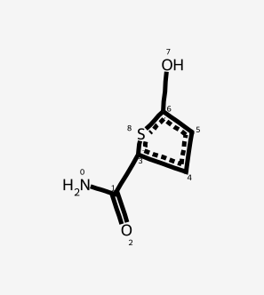 NC(=O)c1ccc(O)s1